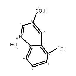 Cc1cccc2ncc(C(=O)O)cc12.Cl